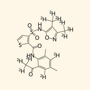 [2H]c1c(C)c([2H])c(C(=O)C([2H])([2H])[2H])c(NC(=O)c2sccc2S(=O)(=O)Nc2onc(C([2H])([2H])[2H])c2C([2H])([2H])[2H])c1C